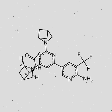 CC(=O)N[C@H]1C2C[C@@H]1N(c1cc(-c3cnc(N)c(C(F)(F)F)c3)nc(N3CC4CC3C4)n1)C2